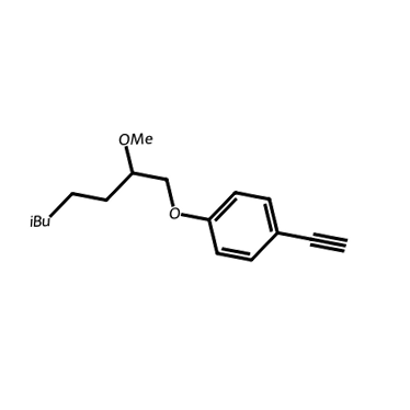 C#Cc1ccc(OCC(CCC(C)CC)OC)cc1